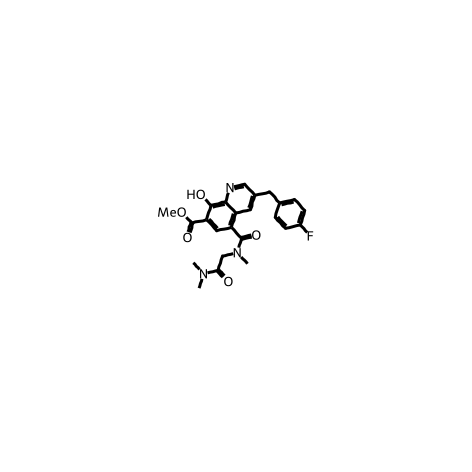 COC(=O)c1cc(C(=O)N(C)CC(=O)N(C)C)c2cc(Cc3ccc(F)cc3)cnc2c1O